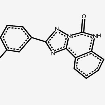 Cc1cccc(-c2nc3c4ccccc4[nH]c(=O)n3n2)c1